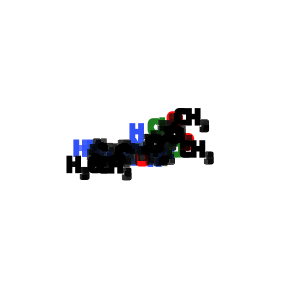 COc1cc(OC)c(Cl)c(-c2ccc(C(=O)Nc3ccc(CN4CCNCC4(C)C)cn3)c3nccnc23)c1Cl